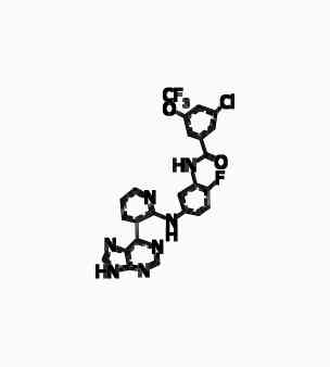 O=C(Nc1cc(Nc2ncccc2-c2ncnc3[nH]cnc23)ccc1F)c1cc(Cl)cc(OC(F)(F)F)c1